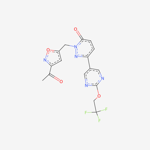 CC(=O)c1cc(Cn2nc(-c3cnc(OCC(F)(F)F)nc3)ccc2=O)on1